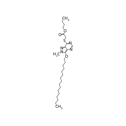 CCCCCCCCCCCCCCCCOc1c2ncnc(SCC(=O)OCCCC)c2nn1C